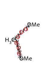 COCCOCCOCCOCC(C)COCCOCCOCCOC